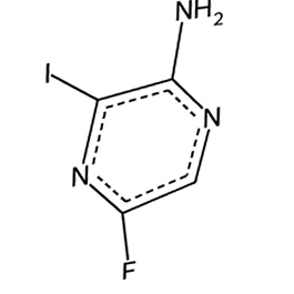 Nc1ncc(F)nc1I